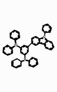 C1=CCC(N(c2ccccc2)c2cc(-c3ccc4c(c3)c3ccccc3n4-c3ccccc3)cc(N(c3ccccc3)c3ccccc3)c2)C=C1